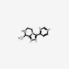 CC1NCCn2c(-c3ccncn3)nnc21